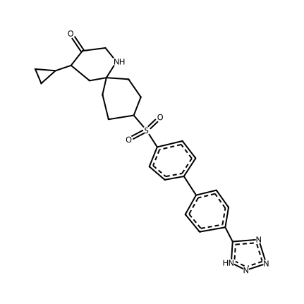 O=C1CNC2(CCC(S(=O)(=O)c3ccc(-c4ccc(-c5nnn[nH]5)cc4)cc3)CC2)CC1C1CC1